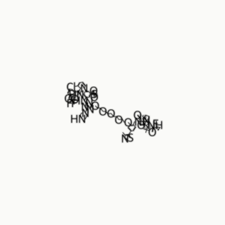 Cc1ncsc1-c1ccc(CNC(=O)[C@@H]2CCCN2C(=O)[C@@H](NC(=O)C2(F)CC2)C(C)(C)C)c(OCCOCCOCCOCCOc2nc(Nc3cc(S(C)(=O)=O)ccc3N[C@@H](c3cccc4c3OC(F)(F)O4)c3ncccc3Cl)nc(N3CCNCC3)n2)c1